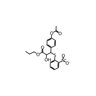 CCCOC(=O)C(O)C(Sc1ccccc1[N+](=O)[O-])c1ccc(OC(C)=O)cc1